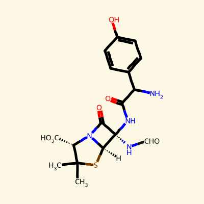 CC1(C)S[C@H]2N(C(=O)[C@@]2(NC=O)NC(=O)C(N)c2ccc(O)cc2)[C@H]1C(=O)O